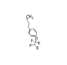 CCCCc1ccc(OC(F)(F)C(F)F)cc1